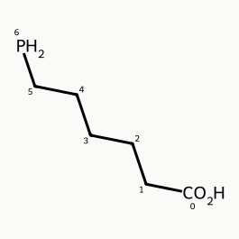 O=C(O)CCCCCP